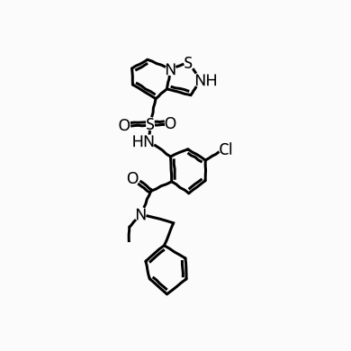 CCN(Cc1ccccc1)C(=O)c1ccc(Cl)cc1NS(=O)(=O)C1=CC=CN2SNC=C12